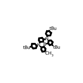 Cc1ccc2c(c1)B1c3cc(C(C)(C)C)ccc3N(c3ccc(C(C)(C)C)cc3)c3cccc(c31)N2c1ccc(C(C)(C)C)cc1